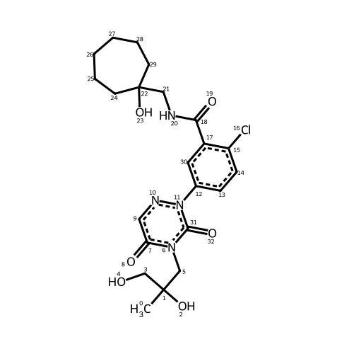 CC(O)(CO)Cn1c(=O)cnn(-c2ccc(Cl)c(C(=O)NCC3(O)CCCCCC3)c2)c1=O